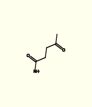 CC(=O)CCC([NH])=O